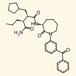 CCC[C@H](C(N)=O)[C@@H](CC1CCCC1)C(=O)N[C@H]1CCCCN(c2cccc(C(=O)c3ccccc3)c2)C1=O